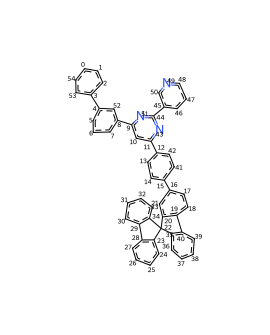 c1ccc(-c2cccc(-c3cc(-c4ccc(-c5ccc6c(c5)C5(c7ccccc7-c7ccccc75)c5ccccc5-6)cc4)nc(-c4cccnc4)n3)c2)cc1